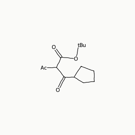 CC(=O)C(C(=O)OC(C)(C)C)C(=O)C1CCCC1